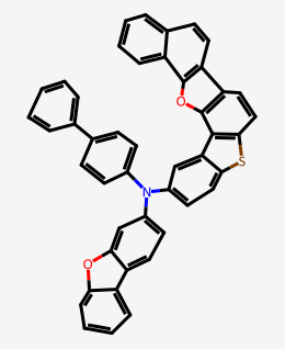 c1ccc(-c2ccc(N(c3ccc4c(c3)oc3ccccc34)c3ccc4sc5ccc6c7ccc8ccccc8c7oc6c5c4c3)cc2)cc1